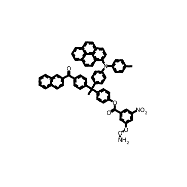 Cc1ccc(N(c2ccc(C(C)(c3ccc(OC(=O)c4cc(OON)cc([N+](=O)[O-])c4)cc3)c3ccc(C(=O)c4ccc5ccccc5c4)cc3)cc2)c2ccc3ccc4cccc5ccc2c3c45)cc1